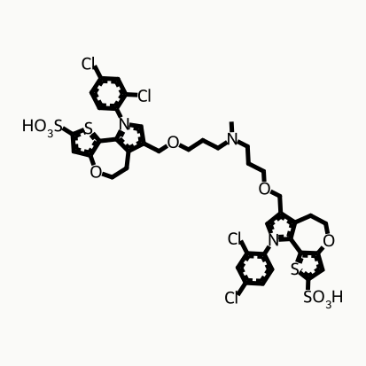 CN(CCCOCc1cn(-c2ccc(Cl)cc2Cl)c2c1CCOc1cc(S(=O)(=O)O)sc1-2)CCCOCc1cn(-c2ccc(Cl)cc2Cl)c2c1CCOc1cc(S(=O)(=O)O)sc1-2